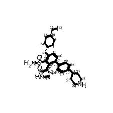 NS(=O)(=O)c1c(C[C@H]2CC[C@H](CI)CC2)ccc(-c2ccc(C3CCNCC3)cc2)c1-c1nn[nH]n1